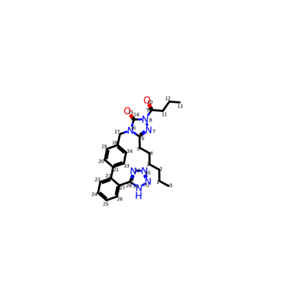 CCCCCCc1nn(C(=O)CCC)c(=O)n1Cc1ccc(-c2ccccc2-c2nnn[nH]2)cc1